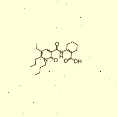 CCCCn1c(CCC)c(CC)cc(C(=O)NC2=C(C(=O)O)CCCC2)c1=O